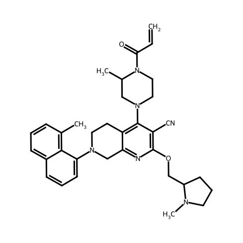 C=CC(=O)N1CCN(c2c(C#N)c(OCC3CCCN3C)nc3c2CCN(c2cccc4cccc(C)c24)C3)CC1C